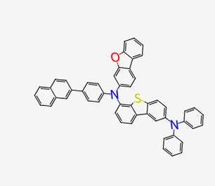 c1ccc(N(c2ccccc2)c2ccc3sc4c(N(c5ccc(-c6ccc7ccccc7c6)cc5)c5ccc6c(c5)oc5ccccc56)cccc4c3c2)cc1